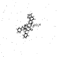 Cn1nnc2c(CN3C[C@H]4N(C(=O)CN(Cc5ccccc5)N4S(=O)(=O)Cc4ccccc4)[C@@H](CC(=O)O)C3=O)cccc21